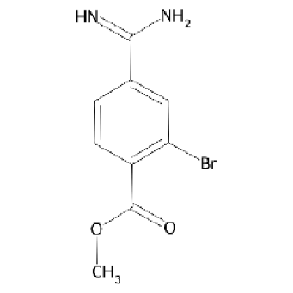 COC(=O)c1ccc(C(=N)N)cc1Br